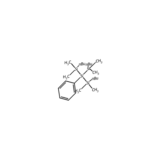 CCCC[Si](C)(C)[Si](c1ccccc1)([Si](C)(C)CCCC)[Si](C)(C)CCCC